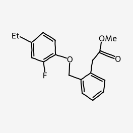 CCc1ccc(OCc2ccccc2CC(=O)OC)c(F)c1